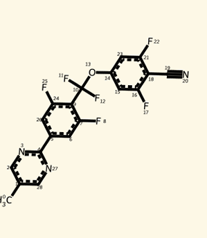 Cc1cnc(-c2cc(F)c(C(F)(F)Oc3cc(F)c(C#N)c(F)c3)c(F)c2)nc1